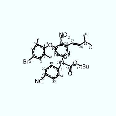 Cc1cc(Br)cc(C)c1Oc1nc(N(C(=O)OC(C)(C)C)c2ccc(C#N)cc2)nc(C=CN(C)C)c1[N+](=O)[O-]